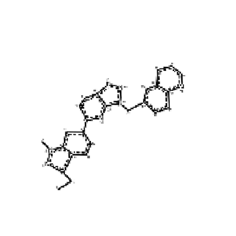 CCc1nn(C)c2cc(-c3ccc4nnn(Cc5ccc6ncccc6c5)c4n3)ccc12